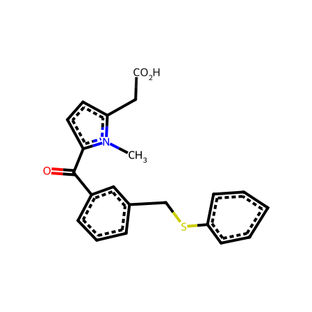 Cn1c(CC(=O)O)ccc1C(=O)c1cccc(CSc2ccccc2)c1